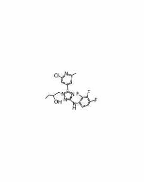 CCC(O)Cn1nc(Nc2ccc(F)c(F)c2F)nc1-c1cc(C)nc(Cl)c1